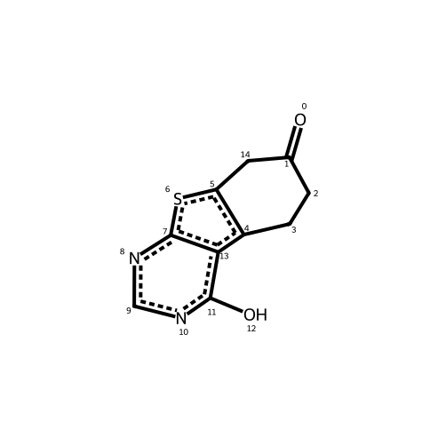 O=C1CCc2c(sc3ncnc(O)c23)C1